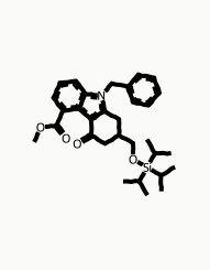 COC(=O)c1cccc2c1c1c(n2Cc2ccccc2)CC(CO[Si](C(C)C)(C(C)C)C(C)C)CC1=O